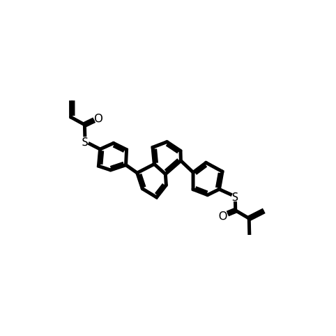 C=CC(=O)Sc1ccc(-c2cccc3c(-c4ccc(SC(=O)C(=C)C)cc4)cccc23)cc1